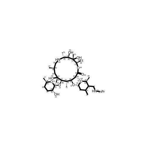 CCCNCC1C(C)C[C@H](O[C@H]2[C@H](C)[C@@H](O[C@@H]3O[C@H](C)CC[C@H]3O)[C@](C)(O)C[C@@H](C)CN[C@H](C)[C@@H](O)[C@](C)(O)[C@@H](CC)OC(=O)[C@@H]2C)O[C@H]1C